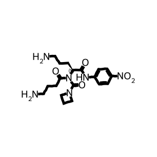 NCCCC(=O)N(C(=O)N1CCC1)[C@@H](CCCN)C(=O)Nc1ccc([N+](=O)[O-])cc1